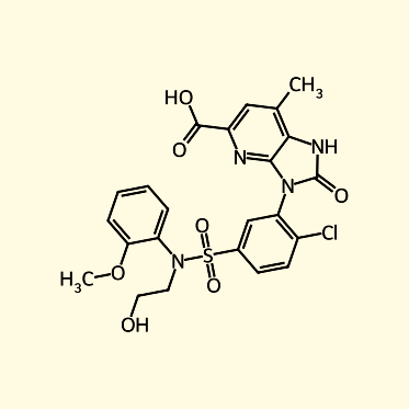 COc1ccccc1N(CCO)S(=O)(=O)c1ccc(Cl)c(-n2c(=O)[nH]c3c(C)cc(C(=O)O)nc32)c1